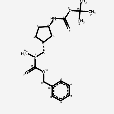 CN(C[C@@H]1CC[C@@H](NC(=O)OC(C)(C)C)C1)C(=O)OCc1ccccc1